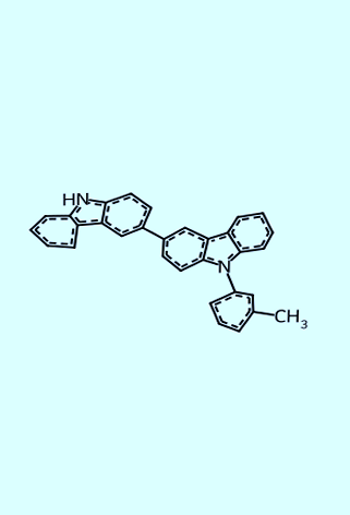 Cc1cccc(-n2c3ccccc3c3cc(-c4ccc5[nH]c6ccccc6c5c4)ccc32)c1